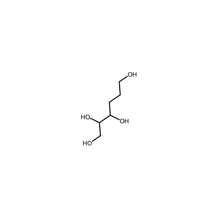 O[CH]C(O)C(O)CCCO